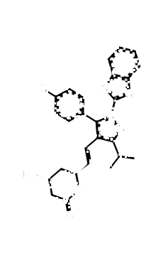 CC(C)c1nn(-c2nc3ccccc3[nH]2)c(-c2ccc(F)cc2)c1C=C[C@@H]1C[C@@H](O)CC(=O)O1